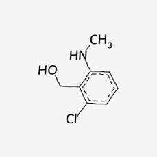 CNc1cccc(Cl)c1CO